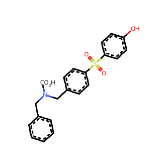 O=C(O)N(Cc1ccccc1)Cc1ccc(S(=O)(=O)c2ccc(O)cc2)cc1